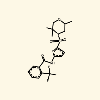 CC1CN(S(=O)(=O)c2ccc(NC(=O)c3ccccc3C(F)(F)F)s2)C(C)(C)CO1